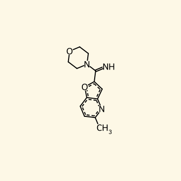 Cc1ccc2oc(C(=N)N3CCOCC3)cc2n1